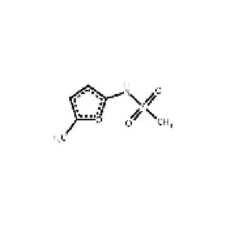 CS(=O)(=O)Nc1ccc(C(F)(F)F)o1